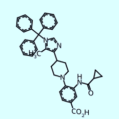 Cc1c(C2CCN(c3ccc(C(=O)O)cc3NC(=O)C3CC3)CC2)ncn1C(c1ccccc1)(c1ccccc1)c1ccccc1